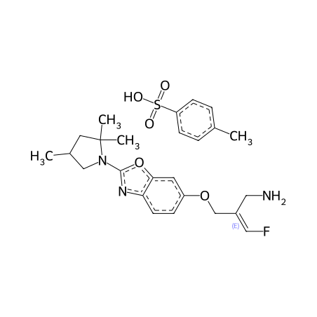 CC1CN(c2nc3ccc(OC/C(=C/F)CN)cc3o2)C(C)(C)C1.Cc1ccc(S(=O)(=O)O)cc1